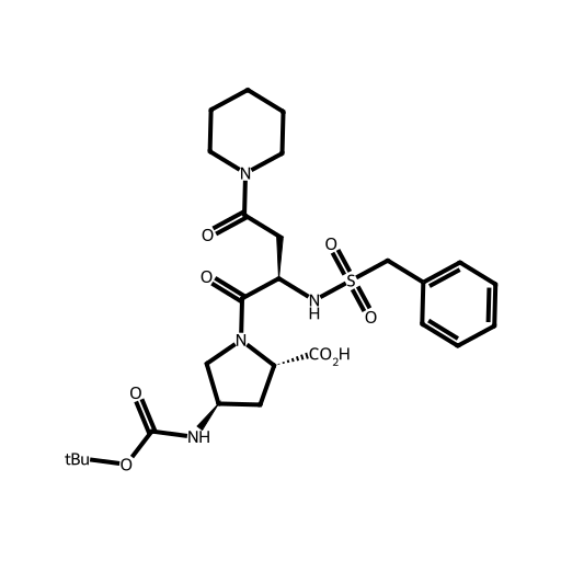 CC(C)(C)OC(=O)N[C@@H]1C[C@@H](C(=O)O)N(C(=O)[C@@H](CC(=O)N2CCCCC2)NS(=O)(=O)Cc2ccccc2)C1